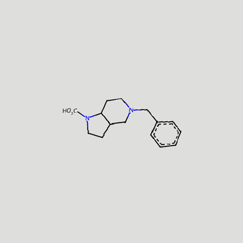 O=C(O)N1CCC2CN(Cc3ccccc3)CCC21